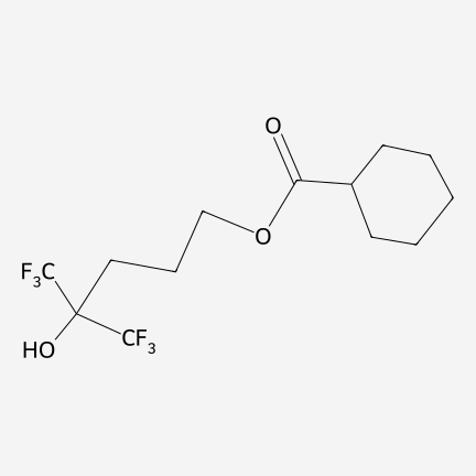 O=C(OCCCC(O)(C(F)(F)F)C(F)(F)F)C1CCCCC1